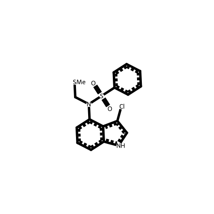 CSCN(c1cccc2[nH]cc(Cl)c12)S(=O)(=O)c1ccccc1